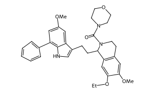 CCOc1cc2c(cc1OC)CCN(C(=O)N1CCOCC1)C2CCc1c[nH]c2c(-c3ccccc3)cc(OC)cc12